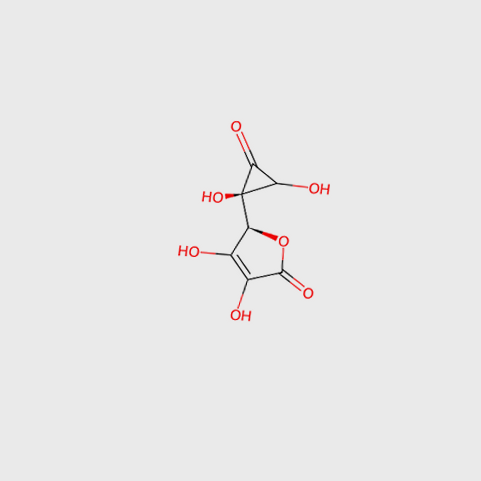 O=C1O[C@H]([C@]2(O)C(=O)C2O)C(O)=C1O